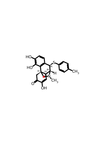 Cc1ccc(S[C@@H]2c3ccc(O)c(O)c3[C@]34CC(=O)C(O)=C[C@@H]3[C@H]2N(C)C4)cc1